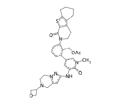 CC(=O)OCc1c(-c2cc(Nc3cc4n(n3)CCN(C3COC3)C4)c(=O)n(C)c2)cccc1N1CCc2c(sc3c2CCCC3)C1=O